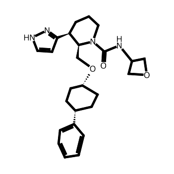 O=C(NC1COC1)N1CCC[C@H](c2cc[nH]n2)[C@@H]1CO[C@H]1CC[C@@H](c2ccccc2)CC1